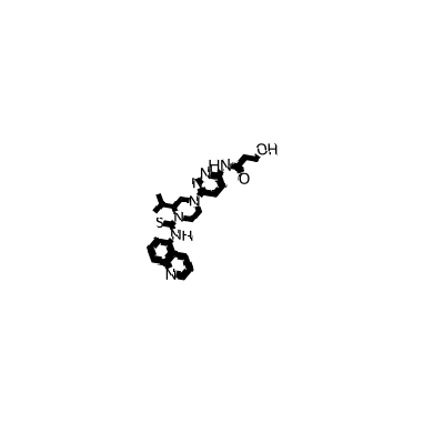 CC(C)C1CN(c2ccc(NC(=O)CCO)nn2)CCN1C(=S)Nc1cccc2ncccc12